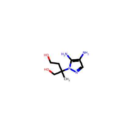 CC(CO)(CCO)n1ncc(N)c1N